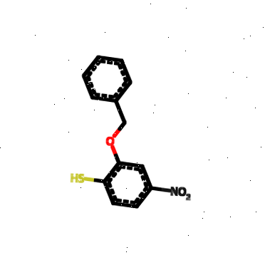 O=[N+]([O-])c1ccc(S)c(OCc2ccccc2)c1